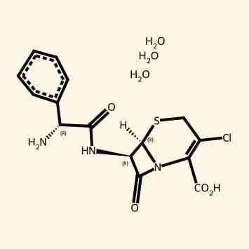 N[C@@H](C(=O)N[C@@H]1C(=O)N2C(C(=O)O)=C(Cl)CS[C@H]12)c1ccccc1.O.O.O